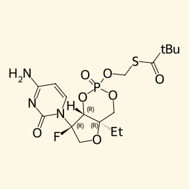 CC[C@@]12COP(=O)(OCSC(=O)C(C)(C)C)O[C@H]1[C@@](F)(n1ccc(N)nc1=O)CO2